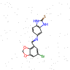 S=c1[nH]c2ccc(/N=C/c3cc(Br)cc4c3OCO4)cc2[nH]1